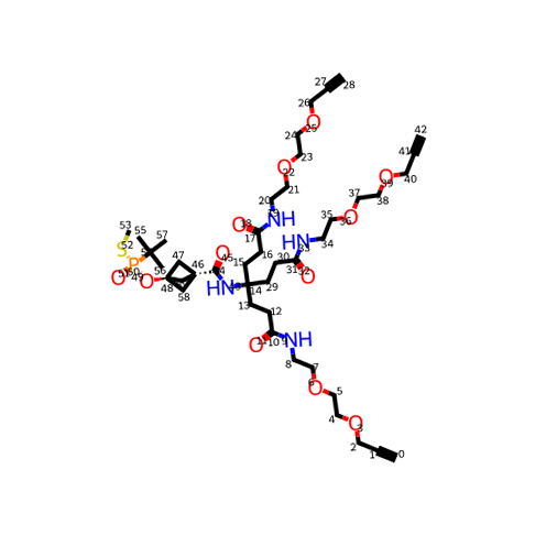 C#CCOCCOCCNC(=O)CCC(CCC(=O)NCCOCCOCC#C)(CCC(=O)NCCOCCOCC#C)NC(=O)[C@]12C[C@@](OP(=O)(SC)C(C)(C)C)(C1)C2